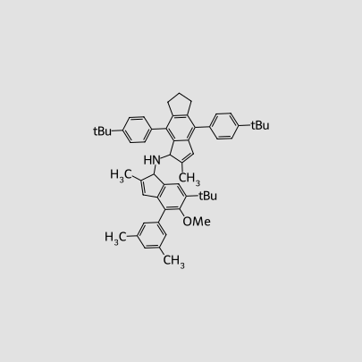 COc1c(C(C)(C)C)cc2c(c1-c1cc(C)cc(C)c1)C=C(C)C2NC1C(C)=Cc2c(-c3ccc(C(C)(C)C)cc3)c3c(c(-c4ccc(C(C)(C)C)cc4)c21)CCC3